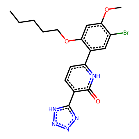 CCCCCOc1cc(OC)c(Br)cc1-c1ccc(-c2nnn[nH]2)c(=O)[nH]1